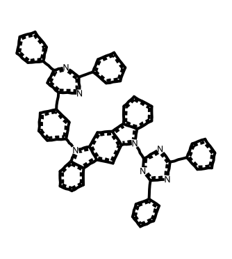 c1ccc(-c2cc(-c3cccc(-n4c5ccccc5c5cc6c(cc54)c4ccccc4n6-c4nc(-c5ccccc5)nc(-c5ccccc5)n4)c3)nc(-c3ccccc3)n2)cc1